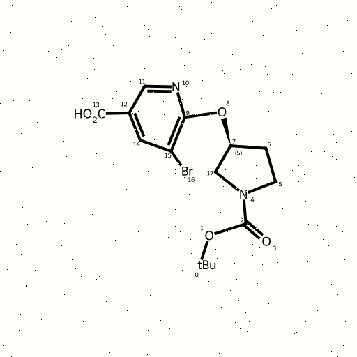 CC(C)(C)OC(=O)N1CC[C@H](Oc2ncc(C(=O)O)cc2Br)C1